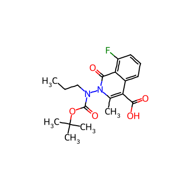 CCCN(C(=O)OC(C)(C)C)n1c(C)c(C(=O)O)c2cccc(F)c2c1=O